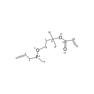 C=CCP(C)OCCC(C)(C)OC(=O)C=C